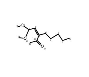 CCCCCC(=CC(OC)OC)C(C)=O